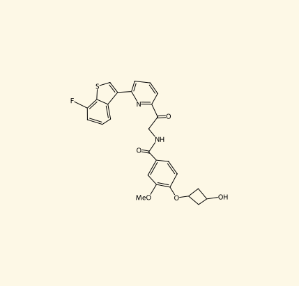 COc1cc(C(=O)NCC(=O)c2cccc(-c3csc4c(F)cccc34)n2)ccc1OC1CC(O)C1